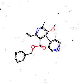 C=Cc1nc(C)c(OC)c(-c2ccncc2)c1C(=O)OCc1ccccc1